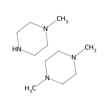 CN1CCN(C)CC1.CN1CCNCC1